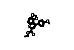 CCOC(=O)c1cc(-c2ccc(OC)cc2)c2c3c(ccc2n1)OCO3